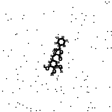 COc1cc(C=C2N=C(c3ccccc3)OC2=O)cc(OC)c1OC